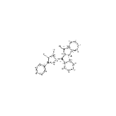 Cc1n(-c2ccccc2)cc(-n2c3ccccc3c3c4ccccc4n(C)c32)[n+]1C